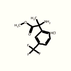 COC(=O)C(C)(N)c1cccc(C(F)(F)F)c1.Cl